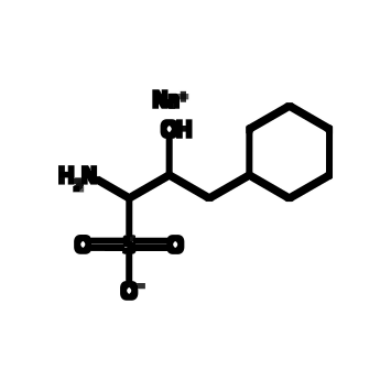 NC(C(O)CC1CCCCC1)S(=O)(=O)[O-].[Na+]